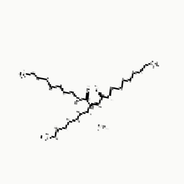 CCCCCCCCOC(=O)/C=C(/CCCCCCCC)C(=O)OCCCCCCCC.[SnH2]